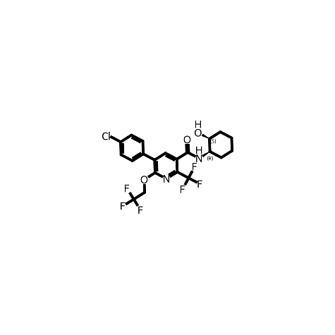 O=C(N[C@@H]1CCCC[C@@H]1O)c1cc(-c2ccc(Cl)cc2)c(OCC(F)(F)F)nc1C(F)(F)F